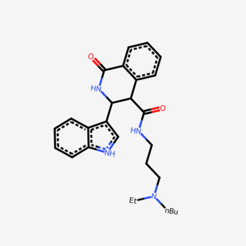 CCCCN(CC)CCCNC(=O)C1c2ccccc2C(=O)NC1c1c[nH]c2ccccc12